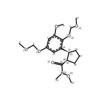 COCOc1cc(OC)c(OCOC)c([C@H]2CCC[C@H]2C(=O)N(C)OC)c1